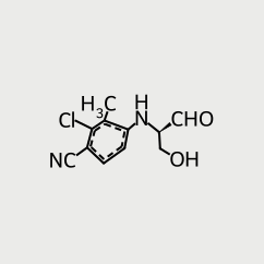 Cc1c(N[C@@H](C=O)CO)ccc(C#N)c1Cl